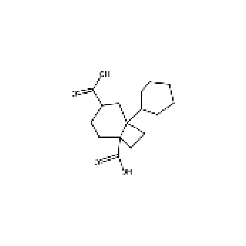 O=C(O)C1CCC2(C(=O)O)CCC2(C2CCCCC2)C1